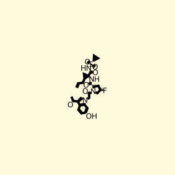 C=CCC1C[C@]1(NC(=O)[C@@H]1C[C@@H](F)CN1C(=O)Cn1cc(C(C)=O)c2ccc(O)cc21)C(=O)NS(=O)(=O)C1CC1